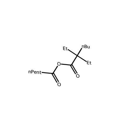 CCCCCC(=O)OC(=O)C(CC)(CC)CCCC